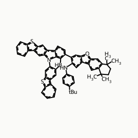 CC(C)(C)c1ccc(Nc2cc3c(cc2-c2ccc4c5cc6sc7ccccc7c6cc5n5c4c2Bc2cc4c(cc2-5)sc2ccccc24)oc2cc4c(cc23)C(C)(C)CCC4(C)C)cc1